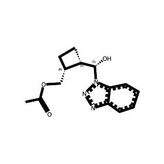 CC(=O)OC[C@@H]1CC[C@@H]1[C@H](O)n1nnc2ccccc21